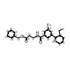 CCc1cccnc1-c1cc(F)cc(C(=O)NCCC(=O)OCc2ccccc2)c1